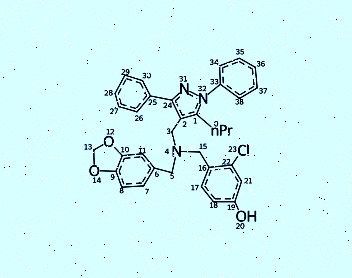 CCCc1c(CN(Cc2ccc3c(c2)OCO3)Cc2ccc(O)cc2Cl)c(-c2ccccc2)nn1-c1ccccc1